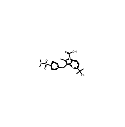 Cc1c(Cc2ccc(S(=O)(=O)N(C)C)cc2)c2nc(C(C)(C)O)ccc2n1C(=O)O